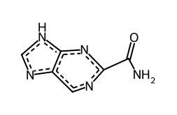 NC(=O)c1ncc2nc[nH]c2n1